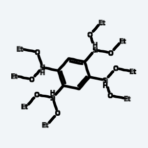 CCO[SiH](OCC)c1cc([SiH](OCC)OCC)c([SiH](OCC)OCC)cc1[SiH](OCC)OCC